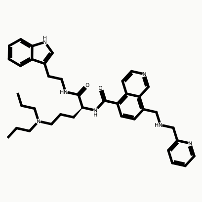 CCCN(CCC)CCC[C@H](NC(=O)c1ccc(CNCc2ccccn2)c2cnccc12)C(=O)NCCc1c[nH]c2ccccc12